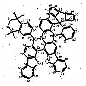 CC1(C)CCC(C)(C)c2cc(N3B4c5cccc6c5N(c5ccccc5C65c6ccccc6-c6ccccc65)c5cc6c(oc7ccccc76)c(c54)-c4c3ccc3c4sc4ccccc43)ccc21